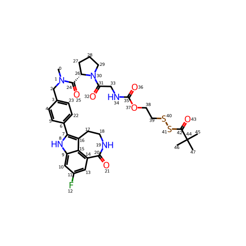 CN(Cc1ccc(-c2[nH]c3cc(F)cc4c3c2CCNC4=O)cc1)C(=O)[C@@H]1CCCN1C(=O)CNC(=O)OCCSSC(=O)C(C)(C)C